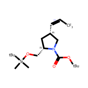 CC(C)(C)OC(=O)N1C[C@@H](/C=C\C(F)(F)F)C[C@H]1CO[Si](C)(C)C(C)(C)C